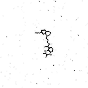 COc1ccc2c(c1)N(CCCNC(=O)c1cccc3c1NC(C)C(=O)N3)CCC2